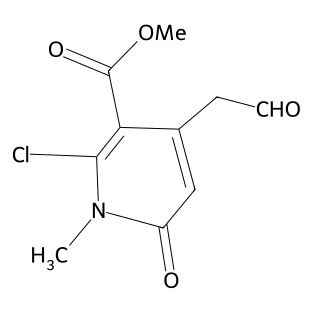 COC(=O)c1c(CC=O)cc(=O)n(C)c1Cl